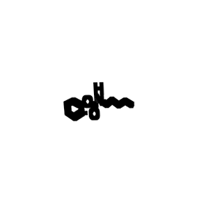 CCCCCNC(=O)Oc1[c]cccc1